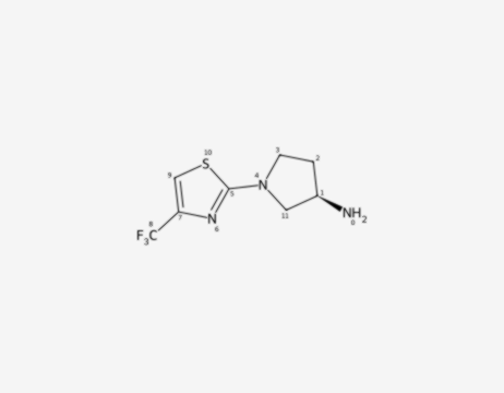 N[C@@H]1CCN(c2nc(C(F)(F)F)cs2)C1